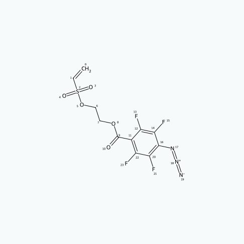 C=CS(=O)(=O)OCCOC(=O)c1c(F)c(F)c(N=[N+]=[N-])c(F)c1F